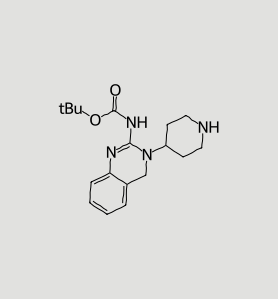 CC(C)(C)OC(=O)NC1=Nc2ccccc2CN1C1CCNCC1